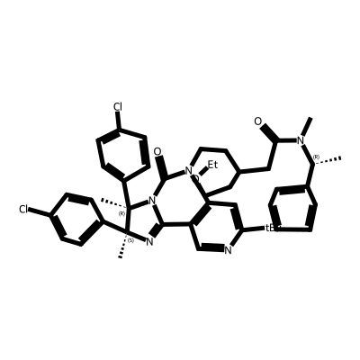 CCOc1cc(C(C)(C)C)ncc1C1=N[C@@](C)(c2ccc(Cl)cc2)[C@@](C)(c2ccc(Cl)cc2)N1C(=O)N1CCC(CC(=O)N(C)[C@H](C)c2ccccc2)CC1